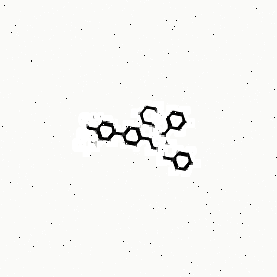 COC(=O)c1ccc(-c2ccc(CCN(Cc3ccccc3)C[C@@H](OC3CCCCO3)c3ccccc3)cc2)cc1[N+](=O)[O-]